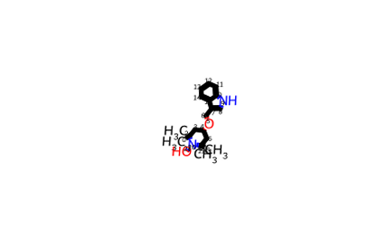 CC1(C)CC(OCc2c[nH]c3ccccc23)CC(C)(C)N1O